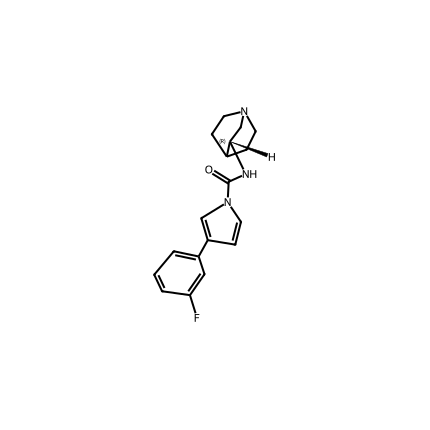 O=C(N[C@H]1CN2CCC1CC2)n1ccc(-c2cccc(F)c2)c1